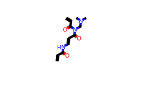 C=CC(=O)NC=CC(=O)N(CN(C)C)C(=O)C=C